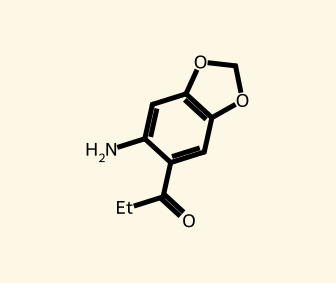 [CH2]CC(=O)c1cc2c(cc1N)OCO2